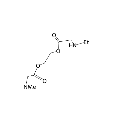 CCNCC(=O)OCCOC(=O)CNC